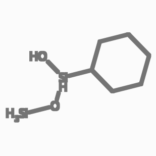 O[SiH](O[SiH3])C1CCCCC1